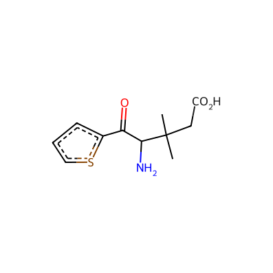 CC(C)(CC(=O)O)C(N)C(=O)c1cccs1